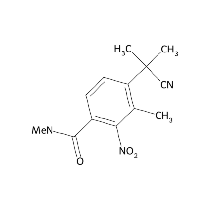 CNC(=O)c1ccc(C(C)(C)C#N)c(C)c1[N+](=O)[O-]